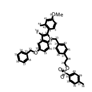 COc1ccc(-c2c(F)c3cc(OCc4ccccc4)ccc3n2Cc2ccc(CCOS(=O)(=O)c3ccc(C)cc3)cc2)c(C)c1